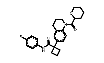 O=C(C1CCCCO1)N1CCCc2nc(C3(C(=O)Nc4ccc(F)cc4)CCC3)ccc21